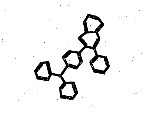 c1ccc(-c2cc3ccccc3cc2-c2ccc(N(c3ccccc3)c3ccccc3)cc2)cc1